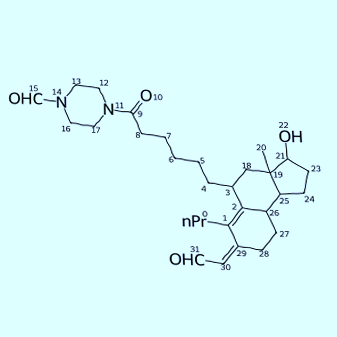 CCCC1=C2C(CCCCCC(=O)N3CCN(C=O)CC3)CC3(C)C(O)CCC3C2CC/C1=C/C=O